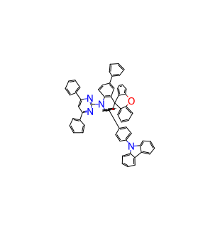 c1ccc(-c2ccc3c(c2)C2(c4ccccc4Oc4ccccc42)c2cc(-c4ccc(-n5c6ccccc6c6ccccc65)cc4)ccc2N3c2nc(-c3ccccc3)cc(-c3ccccc3)n2)cc1